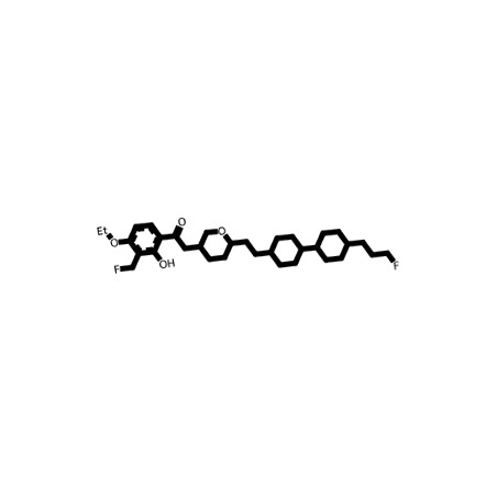 CCOc1ccc(C(=O)CC2CCC(CCC3CCC(C4CCC(CCCF)CC4)CC3)OC2)c(O)c1CF